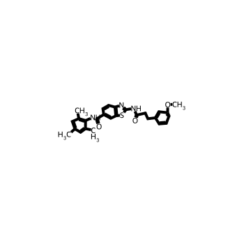 COc1cccc(CCC(=O)Nc2nc3ccc(C(=O)Nc4c(C)cc(C)cc4C)cc3s2)c1